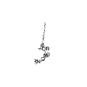 CCCCCCCCCCCCCCOc1ccc(CCN(C(C)=O)c2ccc(C[n+]3csc(C)c3)cc2)cc1C(C)(C)C.[Br-]